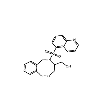 O=S(=O)(c1cccc2ncccc12)N1Cc2ccccc2COCC1CO